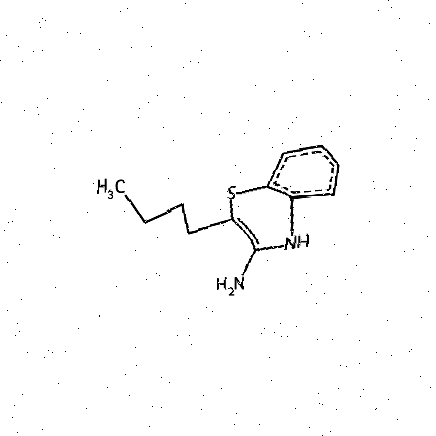 CCCCC1=C(N)Nc2ccccc2S1